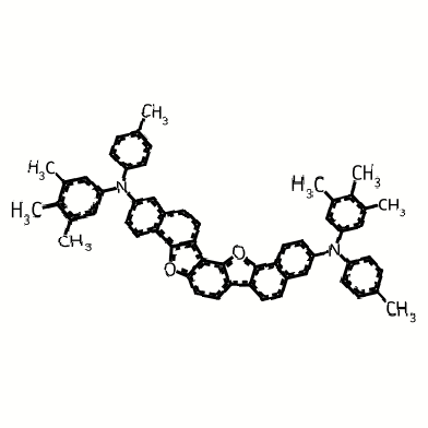 Cc1ccc(N(c2cc(C)c(C)c(C)c2)c2ccc3c(ccc4c5ccc6oc7c8ccc(N(c9ccc(C)cc9)c9cc(C)c(C)c(C)c9)cc8ccc7c6c5oc34)c2)cc1